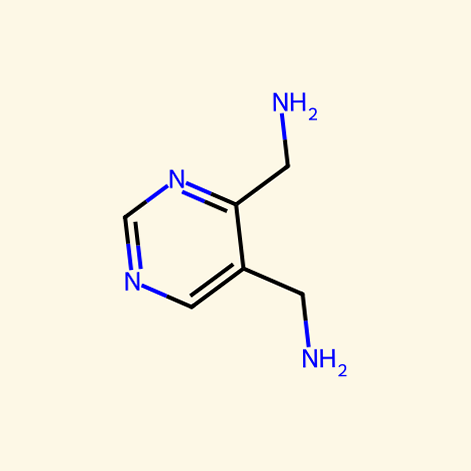 NCc1cncnc1CN